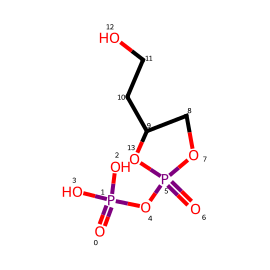 O=P(O)(O)OP1(=O)OCC(CCO)O1